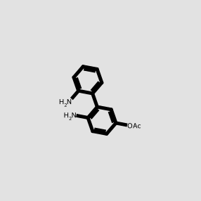 CC(=O)Oc1ccc(N)c(-c2ccccc2N)c1